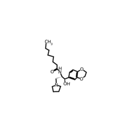 CCCCCCCC(=O)N[C@@H](CN1CCCC1)[C@H](O)c1ccc2c(c1)OCCO2